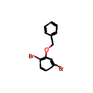 Brc1ccc(Br)c(OCc2ccccc2)c1